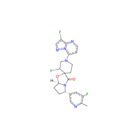 Cc1ncc([C@@H]2CC[C@H]3OC4(CCN(c5ccnc6c(F)cnn56)CC4F)C(=O)N32)cc1F